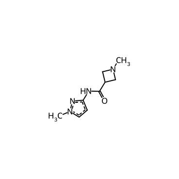 CN1CC(C(=O)Nc2ccn(C)n2)C1